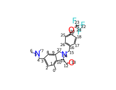 Cc1cc(CN(C)C)cc2c1C(C=O)N(Cc1ccc(OC(F)(F)F)cc1)C2